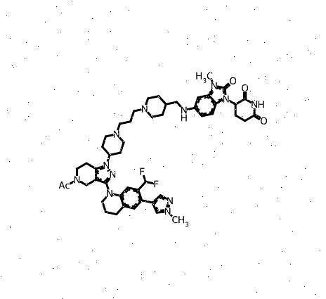 CC(=O)N1CCc2c(c(N3CCCc4cc(-c5cnn(C)c5)c(C(F)F)cc43)nn2C2CCN(CCCN3CCC(CNc4ccc5c(c4)n(C)c(=O)n5C4CCC(=O)NC4=O)CC3)CC2)C1